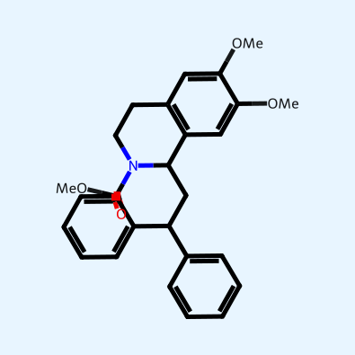 COC(=O)N1CCc2cc(OC)c(OC)cc2C1CC(c1ccccc1)c1ccccc1